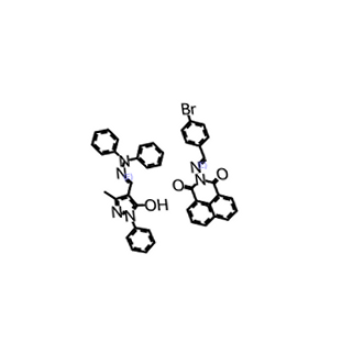 Cc1nn(-c2ccccc2)c(O)c1/C=N/N(c1ccccc1)c1ccccc1.O=C1c2cccc3cccc(c23)C(=O)N1/N=C/c1ccc(Br)cc1